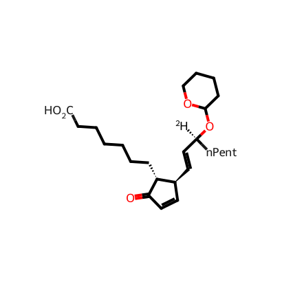 [2H][C@@](/C=C/[C@H]1C=CC(=O)[C@@H]1CCCCCCC(=O)O)(CCCCC)OC1CCCCO1